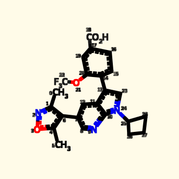 Cc1noc(C)c1-c1cnc2c(c1)c(-c1ccc(C(=O)O)cc1OC(F)(F)F)cn2C1CCC1